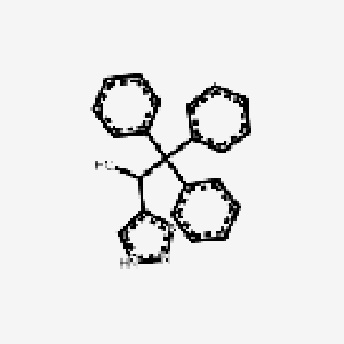 OC(c1c[nH]nn1)C(c1ccccc1)(c1ccccc1)c1ccccc1